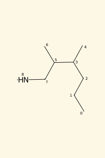 CCCC(C)C(C)C[NH]